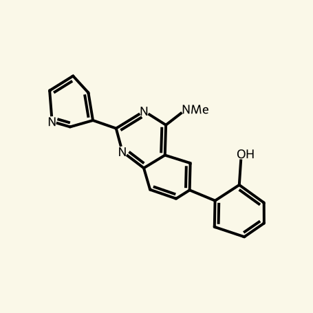 CNc1nc(-c2cccnc2)nc2ccc(-c3ccccc3O)cc12